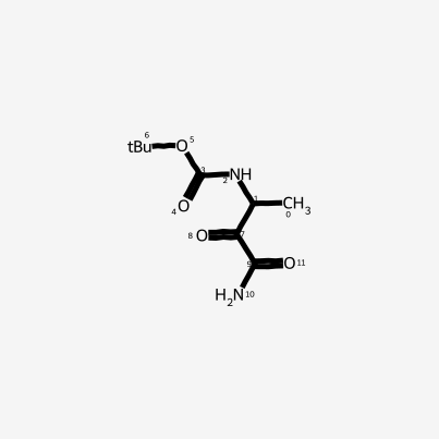 CC(NC(=O)OC(C)(C)C)C(=O)C(N)=O